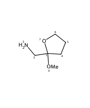 COC1(CN)CCCO1